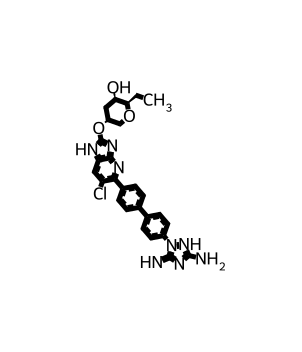 CC[C@H]1OC[C@H](Oc2nc3nc(-c4ccc(-c5ccc(-n6[nH]c(N)nc6=N)cc5)cc4)c(Cl)cc3[nH]2)C[C@@H]1O